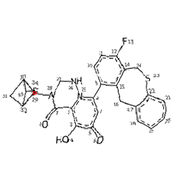 O=C1c2c(O)c(=O)cc(-c3ccc(F)c4c3Cc3ccccc3SC4)n2NCN1C1C2CC1C2F